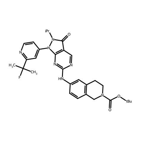 CC(C)n1c(=O)c2cnc(Nc3ccc4c(c3)CCN(C(=O)OC(C)(C)C)C4)nc2n1-c1ccnc(C(C)(C)F)c1